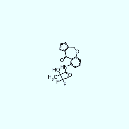 CC(O)(C(=O)Nc1cccc2c1C(=O)c1sccc1CO2)C(F)(F)F